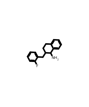 NC1c2ccccc2CCC1Cc1ccccc1F